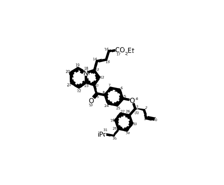 C=CC[C@H](Oc1ccc(C(=O)c2cc(CCCC(=O)OCC)n3ccccc23)cc1)c1ccc(CC(C)C)cc1